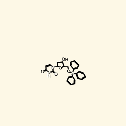 O=c1ccn([C@H]2C[C@H](O)[C@@H](CO[Si](c3ccccc3)(c3ccccc3)c3ccccc3)O2)c(=O)[nH]1